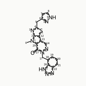 Cn1c2nc(Cc3cc[nH]n3)sc2c2cnn(Cc3cccc4nn[nH]c34)c(=O)c21